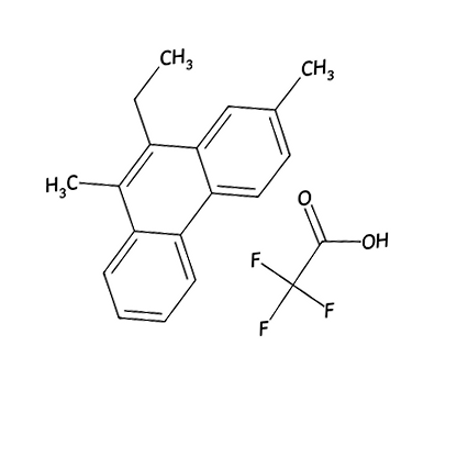 CCc1c(C)c2ccccc2c2ccc(C)cc12.O=C(O)C(F)(F)F